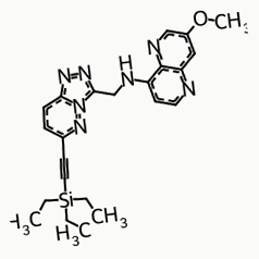 CC[Si](C#Cc1ccc2nnc(CNc3ccnc4cc(OC)cnc34)n2n1)(CC)CC